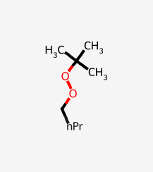 [CH2]CCCOOC(C)(C)C